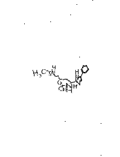 CCSNCCCCC(NC(=O)O)c1ncc(-c2ccccc2)[nH]1